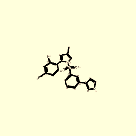 [CH2]c1cc(-c2ccc(F)cc2F)n(S(=O)(=O)c2cccc(-c3ccoc3)c2)c1